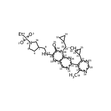 CCS(=O)(=O)N1CCC(CNc2nc3cnc(-c4c(C)ncnc4C4CC4)nc3n([C@@H](C)C3CC3)c2=O)C1